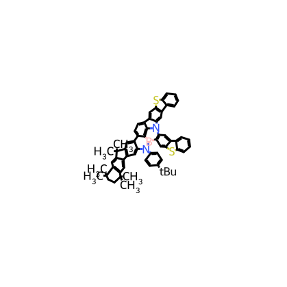 CC(C)(C)c1ccc(N2B3c4cc5sc6ccccc6c5cc4-n4c5cc6c(cc5c5ccc(c3c54)-c3cc4c(cc32)-c2cc3c(cc2C4(C)C)C(C)(C)CCC3(C)C)sc2ccccc26)cc1